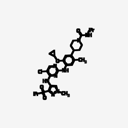 Cc1cc(Nc2ncc(Cl)c(Nc3cn(C)nc3S(=O)(=O)C(C)C)n2)c(OC2CC2)cc1C1CCN(C(=O)NC(C)C)CC1